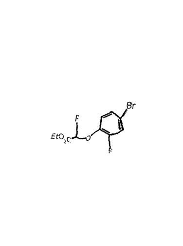 CCOC(=O)C(F)Oc1ccc(Br)cc1F